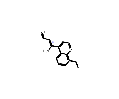 CCc1cccc2c(/C(N)=C/C=N)ccnc12